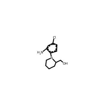 Nc1cc(Cl)ccc1N1CCCCC1CO